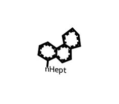 [CH2]CCCCCCc1cccc2c1ccc1ccccc12